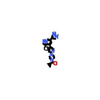 Cn1cc(-c2cc(-c3ccc(N4CCN(C(=O)C5CC5)CC4)nc3)c3c(C#N)cnn3c2)cn1